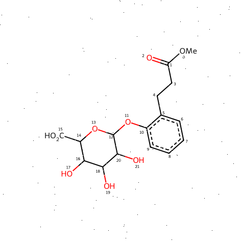 COC(=O)CCc1ccccc1OC1OC(C(=O)O)C(O)C(O)C1O